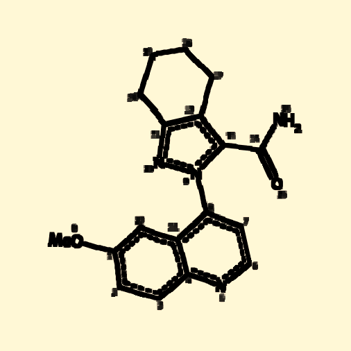 COc1ccc2nccc(-n3nc4c(c3C(N)=O)CC[C]C4)c2c1